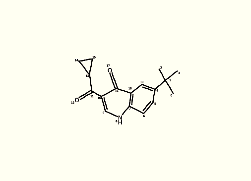 CC(C)(C)c1ccc2[nH]cc(C(=O)C3CC3)c(=O)c2c1